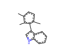 Cc1ccc(C)c(-c2c[nH]c3ccccc23)c1C